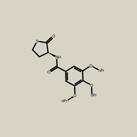 CCCOc1cc(C(=O)N[C@H]2CCSC2=O)cc(OCCC)c1OCCC